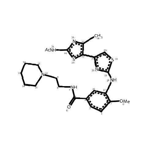 COc1ccc(C(=O)NCCN2CCCCC2)cc1Nc1nc(-c2sc(NC(C)=O)nc2C)cs1